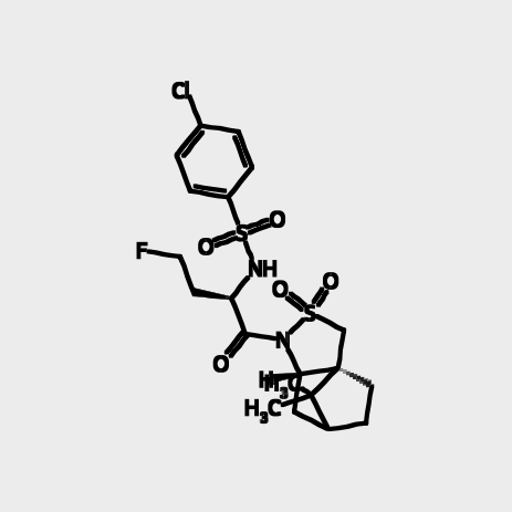 CC1(C)C2CC[C@]13CS(=O)(=O)N(C(=O)[C@@H](CCF)NS(=O)(=O)c1ccc(Cl)cc1)[C@H]3C2